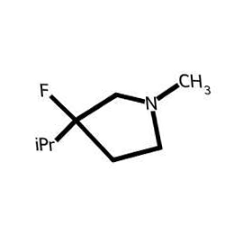 CC(C)C1(F)CCN(C)C1